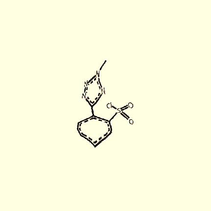 Cn1nnc(-c2ccccc2S(=O)(=O)Cl)n1